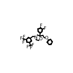 Fc1ccc(C2(CCOc3ccccc3)CN(Cc3cc(C(F)(F)F)cc(C(F)(F)F)c3)CCO2)cc1F